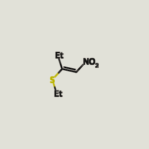 CCSC(=C[N+](=O)[O-])CC